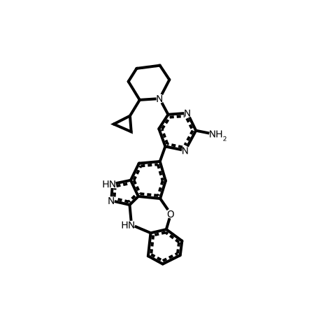 Nc1nc(-c2cc3c4c(n[nH]c4c2)Nc2ccccc2O3)cc(N2CCCCC2C2CC2)n1